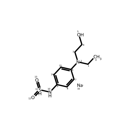 CCN(CCO)c1ccc(N[SH](=O)=O)cc1.[Na]